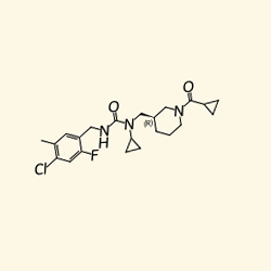 Cc1cc(CNC(=O)N(C[C@@H]2CCCN(C(=O)C3CC3)C2)C2CC2)c(F)cc1Cl